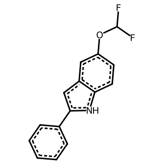 FC(F)Oc1ccc2[nH]c(-c3ccccc3)cc2c1